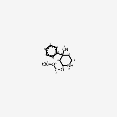 CC(C)(C)OC=O.N#CC1(c2ccccc2)CCNCC1